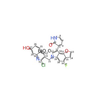 CCOC(=O)c1c(-c2ccc[nH]c2=O)c2c3occc3c(F)cc2n1Cc1cc2ccc(O)cc2nc1Cl